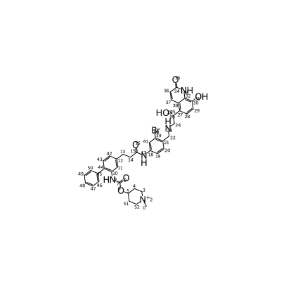 C[N+]1(C)CCC(OC(=O)Nc2cc(CCC(=O)Nc3ccc(CNC[C@H](O)c4ccc(O)c5[nH]c(=O)ccc45)c(Br)c3)ccc2-c2ccccc2)CC1